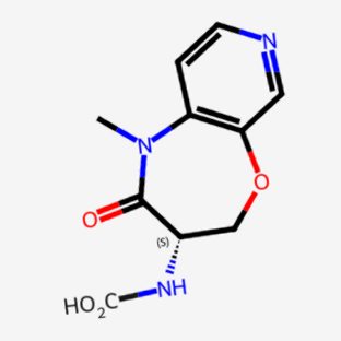 CN1C(=O)[C@@H](NC(=O)O)COc2cnccc21